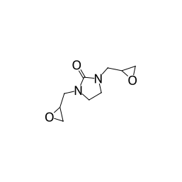 O=C1N(CC2CO2)CCN1CC1CO1